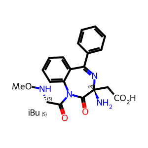 CC[C@H](C)[C@H](NOC)C(=O)N1C(=O)[C@@](N)(CC(=O)O)N=C(c2ccccc2)c2ccccc21